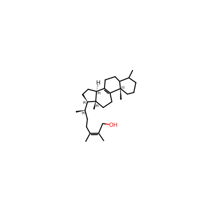 CC(CO)=C(C)CC[C@@H](C)[C@H]1CC[C@H]2C3=C(CC[C@]12C)[C@@]1(C)CCCC(C)C1CC3